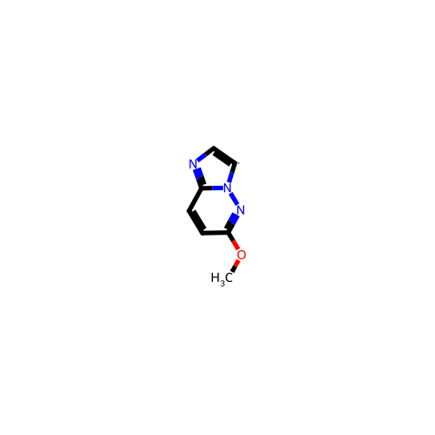 COc1ccc2nc[c]n2n1